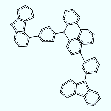 c1ccc(-c2ccccc2N(c2ccc(-c3cccc(-n4c5ccccc5c5ccccc54)c3)cc2)c2ccc(-c3cccc4oc5ccccc5c34)cc2)cc1